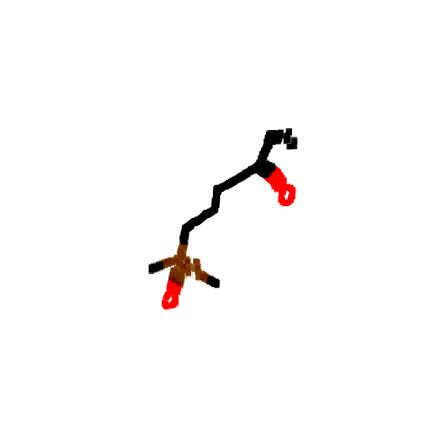 BC(=O)CCC[SH](C)(C)=O